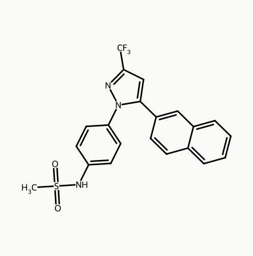 CS(=O)(=O)Nc1ccc(-n2nc(C(F)(F)F)cc2-c2ccc3ccccc3c2)cc1